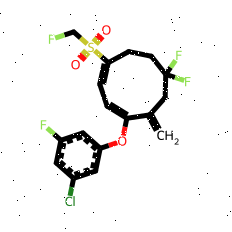 C=C1CC(F)(F)CC/C(S(=O)(=O)CF)=C\C=C/1Oc1cc(F)cc(Cl)c1